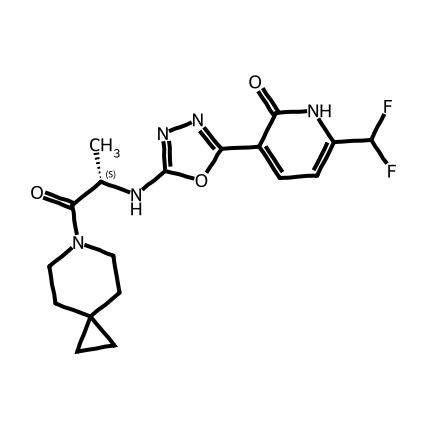 C[C@H](Nc1nnc(-c2ccc(C(F)F)[nH]c2=O)o1)C(=O)N1CCC2(CC1)CC2